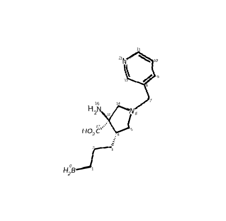 BCCC[C@H]1CN(Cc2cccnc2)C[C@@]1(N)C(=O)O